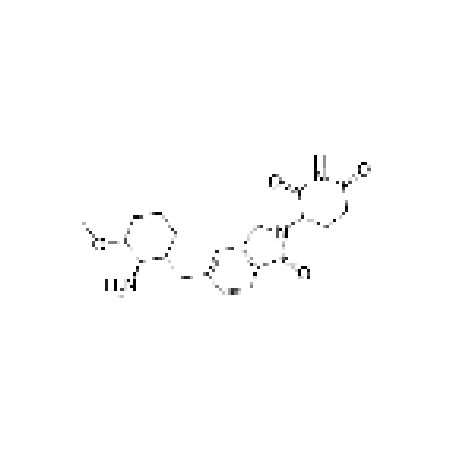 CO[C@@H]1CCC[C@H](Cc2ccc3c(c2)CN(C2CCC(=O)NC2=O)C3=O)[C@H]1N